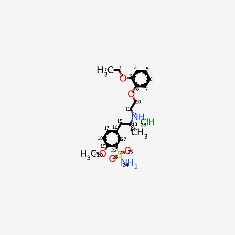 CCOc1ccccc1OCCN[C@H](C)Cc1ccc(OC)c(S(N)(=O)=O)c1.Cl